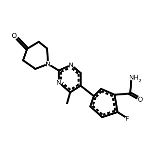 Cc1nc(N2CCC(=O)CC2)ncc1-c1ccc(F)c(C(N)=O)c1